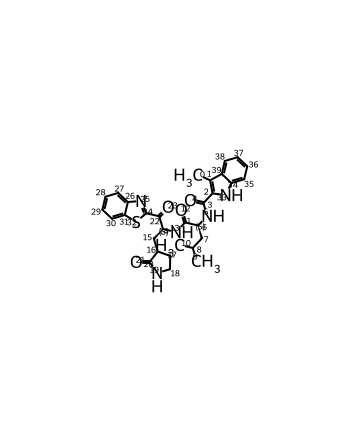 Cc1c(C(=O)N[C@@H](CC(C)C)C(=O)N[C@@H](CC2CCNC2=O)C(=O)c2nc3ccccc3s2)[nH]c2ccccc12